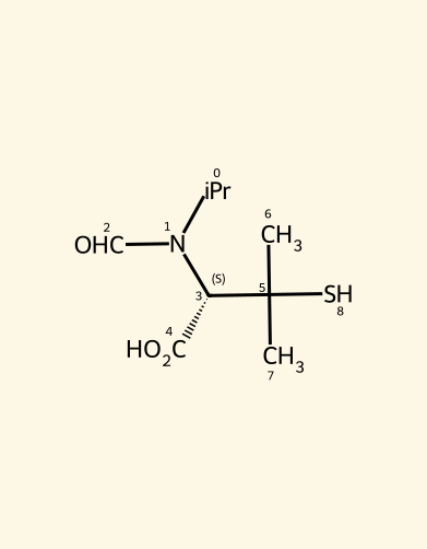 CC(C)N(C=O)[C@@H](C(=O)O)C(C)(C)S